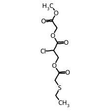 CCSCC(=O)OCC(Cl)C(=O)OCC(=O)OC